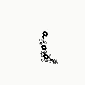 CCCNC(=O)Nc1cc2c(Oc3ccc(NC(=O)NCCc4ccc(F)cc4)cc3)ncnc2cc1OC